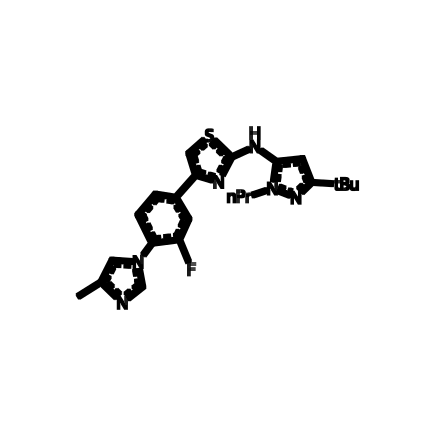 CCCn1nc(C(C)(C)C)cc1Nc1nc(-c2ccc(-n3cnc(C)c3)c(F)c2)cs1